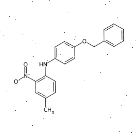 Cc1ccc(Nc2ccc(OCc3ccccc3)cc2)c([N+](=O)[O-])c1